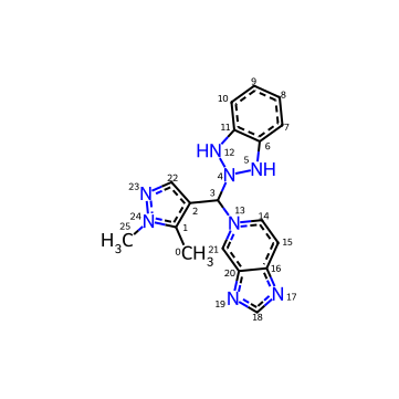 Cc1c(C(N2Nc3ccccc3N2)n2ccc3ncnc-3c2)cnn1C